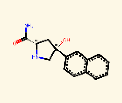 NC(=O)[C@@H]1C[C@@](O)(c2ccc3ccccc3c2)CN1